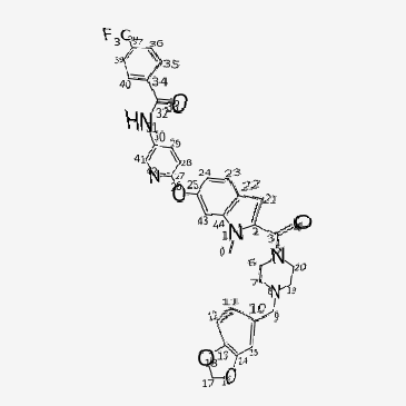 Cn1c(C(=O)N2CCN(Cc3ccc4c(c3)OCO4)CC2)cc2ccc(Oc3ccc(NC(=O)c4ccc(C(F)(F)F)cc4)cn3)cc21